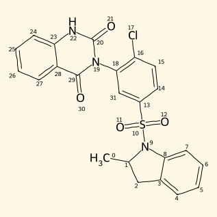 CC1Cc2ccccc2N1S(=O)(=O)c1ccc(Cl)c(-n2c(=O)[nH]c3ccccc3c2=O)c1